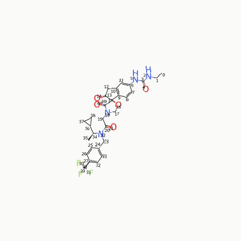 CCNC(=O)Nc1ccc2c(c1)CC(=O)[C@]21OCN(CC(=O)N(Cc2ccc(C(F)(F)F)cc2)[C@@H](C)C2CC2)C1=O